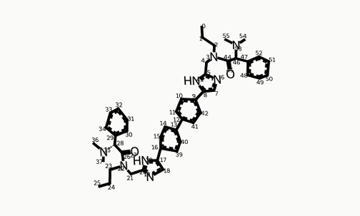 CCCN(Cc1ncc(-c2ccc(-c3ccc(-c4cnc(CN(CCC)C(=O)[C@@H](c5ccccc5)N(C)C)[nH]4)cc3)cc2)[nH]1)C(=O)C(c1ccccc1)N(C)C